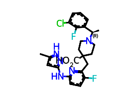 Cc1cc(Nc2ccc(F)c(CC3(C(=O)O)CCN([C@H](C)c4cccc(Cl)c4F)CC3)n2)n[nH]1